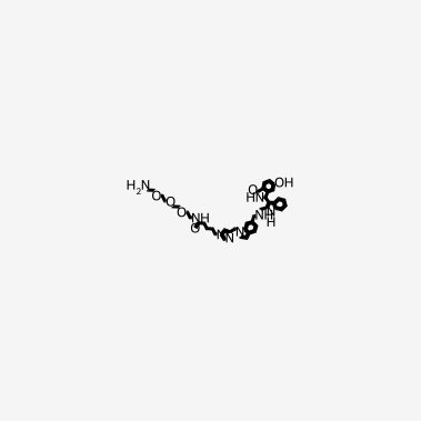 NCCOCCOCCOCCNC(=O)CCCCn1cnc(Cn2ccc3ccc(CNCc4[nH]c5ccccc5c4C4NC(=O)c5ccc(O)cc54)cc32)c1